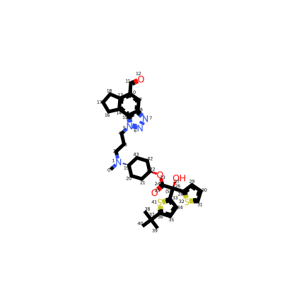 CN(CCCn1nnc2cc(C=O)c3c(c21)CCC3)[C@H]1CC[C@H](OC(=O)[C@](O)(c2cccs2)c2ccc(C(C)(C)C)s2)CC1